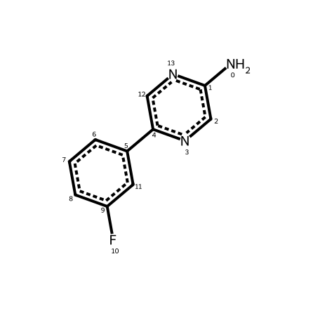 Nc1cnc(-c2cccc(F)c2)cn1